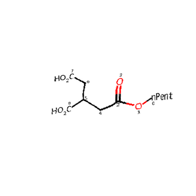 CCCCCOC(=O)CC(CC(=O)O)C(=O)O